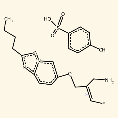 CCCCc1nc2ccc(OC/C(=C/F)CN)cn2n1.Cc1ccc(S(=O)(=O)O)cc1